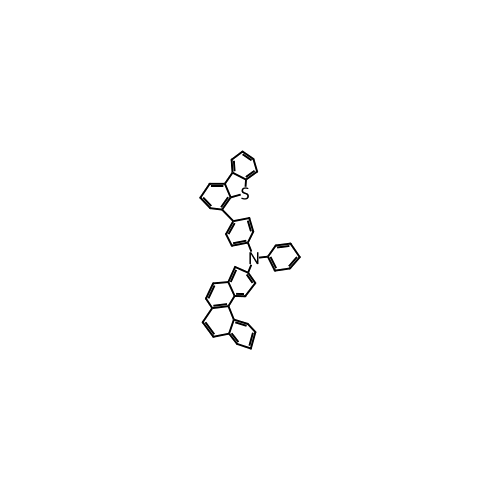 c1ccc(N(c2ccc(-c3cccc4c3sc3ccccc34)cc2)c2ccc3c(ccc4ccc5ccccc5c43)c2)cc1